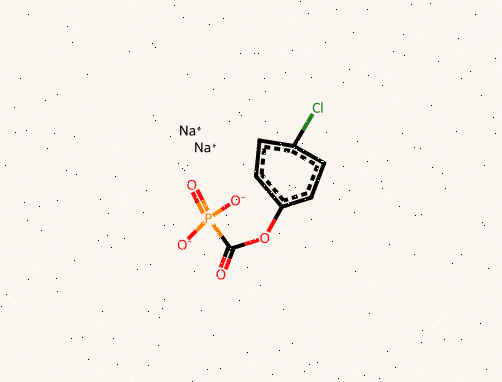 O=C(Oc1ccc(Cl)cc1)P(=O)([O-])[O-].[Na+].[Na+]